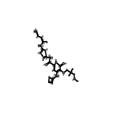 COCC(C)(C)COc1c(NC23CC(C2)C3)cc(C(=O)Nc2nnc(N/C(C)=C\C=N)s2)oc1=O